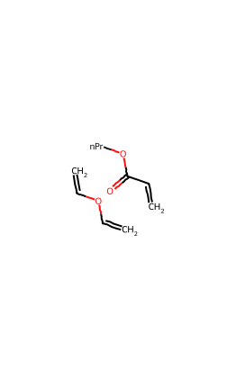 C=CC(=O)OCCC.C=COC=C